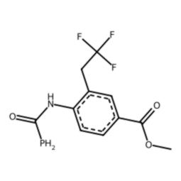 COC(=O)c1ccc(NC(=O)P)c(CC(F)(F)F)c1